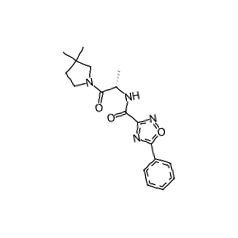 C[C@H](NC(=O)c1noc(-c2ccccc2)n1)C(=O)N1CCC(C)(C)C1